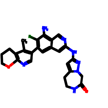 Cc1c(-c2cc3cc(Nc4cc5n(n4)CC(=O)NCC5)ncc3c(N)c2F)cnc2c1CCCO2